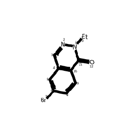 CCn1ncc2cc(Br)ccc2c1=O